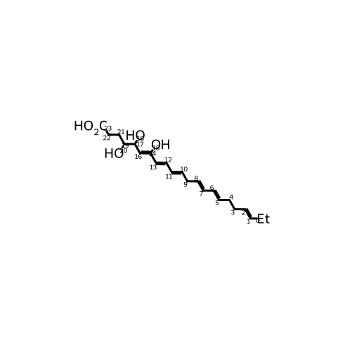 CC/C=C/CC/C=C/C=C/C/C=C/C=C/C(O)=C/C(O)[C@@H](O)CCC(=O)O